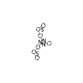 c1ccc(-c2nc(-c3ccc(-c4cccc5c4sc4ccccc45)cc3)nc(-c3ccc(-c4cccc5c4sc4ccccc45)cc3)n2)cc1